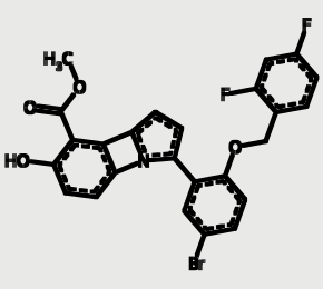 COC(=O)c1c(O)ccc2c1-c1ccc(-c3cc(Br)ccc3OCc3ccc(F)cc3F)n1-2